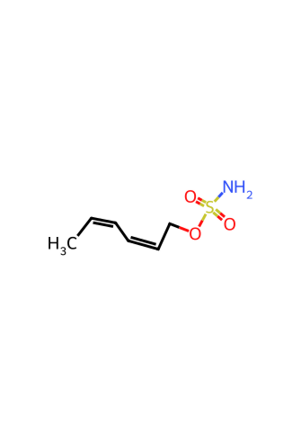 C/C=C\C=C/COS(N)(=O)=O